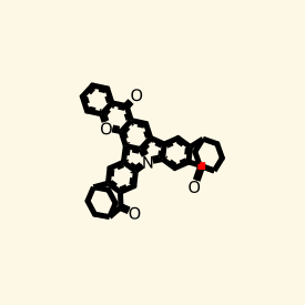 O=C1c2cc3c(cc2C2CCC1CC2)c1cc2c(=O)c4ccccc4oc2c2c4cc5c(cc4n3c12)C(=O)C1CCC5CC1